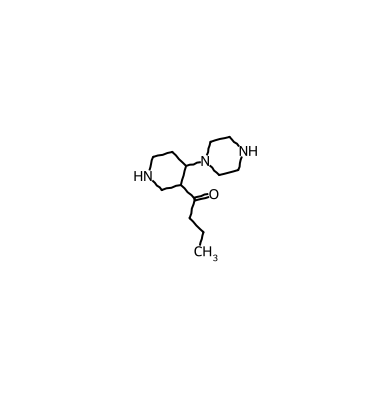 CCCC(=O)C1CNCCC1N1CCNCC1